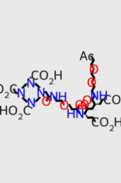 CC(=O)CCOCCOCCNC(=O)[C@@H](CCC(=O)O)CC(=O)[C@@H](CCC(=O)O)NC(=O)CCOCCNC(=O)CN1CCN(CC(=O)O)CCN(CC(=O)O)CCN(CC(=O)O)CC1